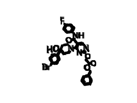 O=C(COc1ncc(C(=O)Nc2ccc(F)cc2)c(N2CCC(O)(c3ccc(Br)cc3)CC2)n1)OCc1ccccc1